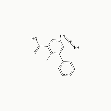 Cc1c(C(=O)O)cccc1-c1ccccc1.N=[N+]=N